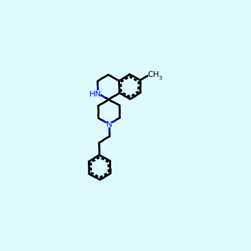 Cc1ccc2c(c1)CCNC21CCN(CCc2ccccc2)CC1